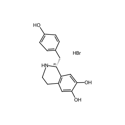 Br.Oc1ccc(C[C@H]2NCCc3cc(O)c(O)cc32)cc1